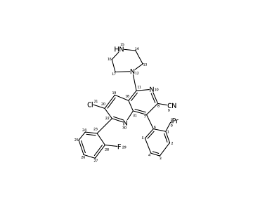 CC(C)c1ccccc1-c1c(C#N)nc(N2CCNCC2)c2cc(Cl)c(-c3ccccc3F)nc12